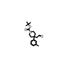 Cc1cccc(C2(CC=O)CCN(C(=O)OC(C)(C)C)CC2)c1